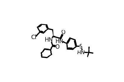 CC(C)(C)NSc1ccc(NC(=O)[C@H](Cc2cccc(Cl)c2)NC(=O)C2CCCCC2)cc1